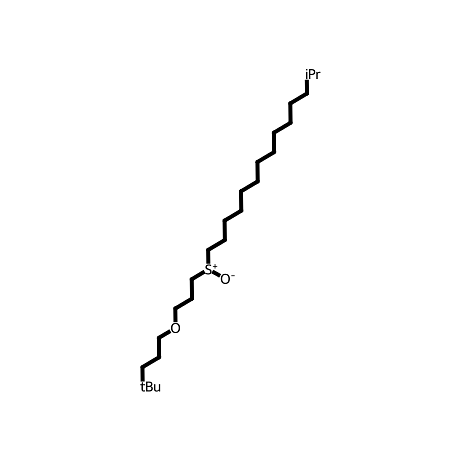 CC(C)CCCCCCCCCCCC[S+]([O-])CCCOCCCC(C)(C)C